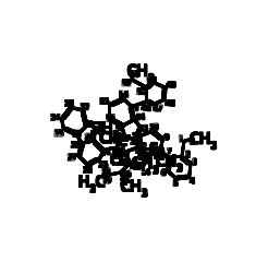 CCc1ccccc1-c1cccc2c1C=C(C(C)CC)[CH]2[Zr]([Cl])([Cl])([c]1cccc2c1[SiH2]c1ccccc1-2)[CH]1C(C(C)CC)=Cc2c(-c3ccccc3CC)cccc21